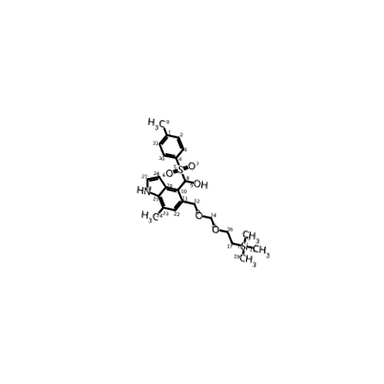 Cc1ccc(S(=O)(=O)C(O)c2c(COCOCC[Si](C)(C)C)cc(C)c3[nH]ccc23)cc1